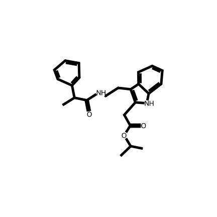 CC(C)OC(=O)Cc1[nH]c2ccccc2c1CCNC(=O)C(C)c1ccccc1